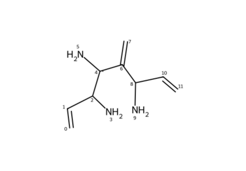 C=CC(N)[C](N)C(=C)C(N)C=C